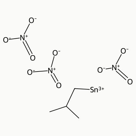 CC(C)[CH2][Sn+3].O=[N+]([O-])[O-].O=[N+]([O-])[O-].O=[N+]([O-])[O-]